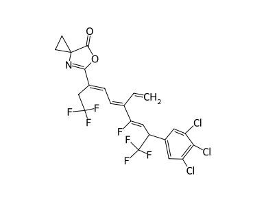 C=CC(=C\C=C(/CC(F)(F)F)C1=NC2(CC2)C(=O)O1)/C(F)=C/C(c1cc(Cl)c(Cl)c(Cl)c1)C(F)(F)F